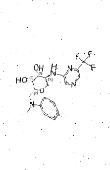 CN(C[C@H]1OC[C@H](Nc2cncc(C(F)(F)F)n2)[C@@H](O)[C@H]1O)c1ccccc1